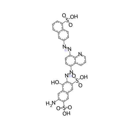 Nc1cc2c(O)c(/N=N/c3ccc(/N=N/c4ccc5c(S(=O)(=O)O)cccc5c4)c4ncccc34)c(S(=O)(=O)O)cc2cc1S(=O)(=O)O